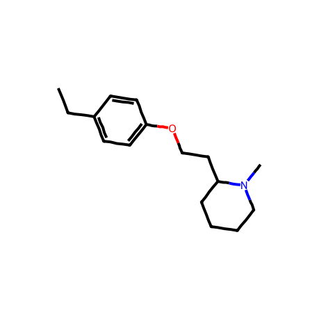 CCc1ccc(OCCC2CCCCN2C)cc1